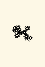 CC1(C)c2ccccc2-c2cc(-c3cc(-c4ccncc4)cc(-c4cc(-c5cccc6oc7ccccc7c56)nc(-c5ccccc5)n4)c3)ccc21